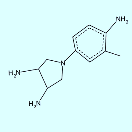 Cc1cc(N2CC(N)C(N)C2)ccc1N